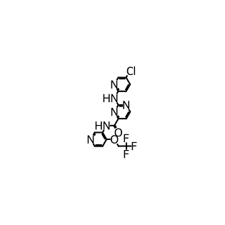 O=C(Nc1cnccc1OCC(F)(F)F)c1ccnc(Nc2ccc(Cl)cn2)n1